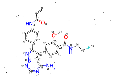 C=CC(=O)Nc1ccc(-c2nn3ncnc(N)c3c2-c2ccc(C(=O)NCCF)c(OC)c2)cc1